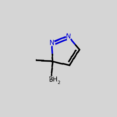 BC1(C)C=CN=N1